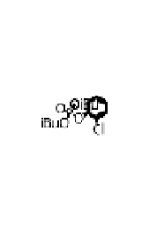 CC(C)COP(=O)(OCC(C)C)Oc1ccccc1Cl